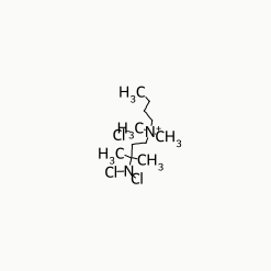 CCCC[N+](C)(C)CCC(C)(C)N(Cl)Cl.[Cl-]